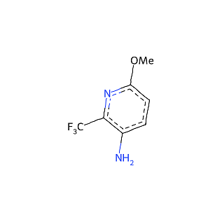 COc1ccc(N)c(C(F)(F)F)n1